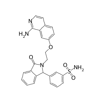 Nc1nccc2ccc(OCCN3C(=O)c4ccccc4C3c3cccc(S(N)(=O)=O)c3)cc12